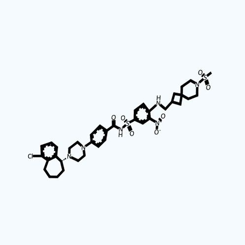 CS(=O)(=O)N1CCC2(CC1)CC(CNc1ccc(S(=O)(=O)NC(=O)c3ccc(N4CCN([C@@H]5CCCCc6c(Cl)cccc65)CC4)cc3)cc1[N+](=O)[O-])C2